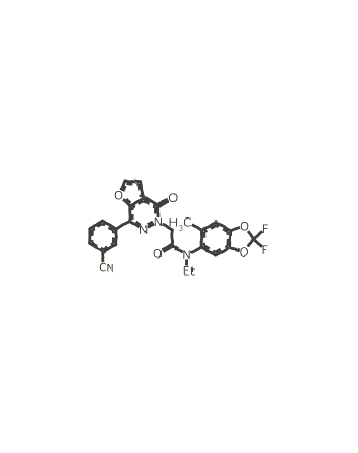 CCN(C(=O)Cn1nc(-c2cccc(C#N)c2)c2occc2c1=O)c1cc2c(cc1C)OC(F)(F)O2